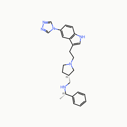 C[C@H](NC[C@@H]1CCN(CCc2c[nH]c3ccc(-n4cnnc4)cc23)C1)c1ccccc1